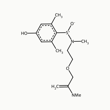 C=C(COCCN(C)[S+]([O-])c1c(C)cc(O)cc1C)NC